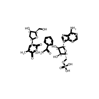 Cc1cn([C@H]2C[C@H](O)[C@@H](CO)O2)c(=O)[nH]c1=O.NC(=O)c1ccccc1.Nc1ncnc2c1ncn2[C@@H]1O[C@H](COP(=O)(O)O)[C@@H](O)[C@H]1O